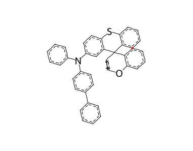 c1ccc(-c2ccc(N(c3ccccc3)c3ccc4c(c3)C3(c5ccccc5Oc5ccccc53)c3ccccc3S4)cc2)cc1